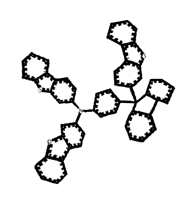 c1ccc2c(c1)-c1ccccc1C2(c1ccc(N(c2ccc3c(c2)oc2ccccc23)c2ccc3c(c2)oc2ccccc23)cc1)c1ccc2c(c1)sc1ccccc12